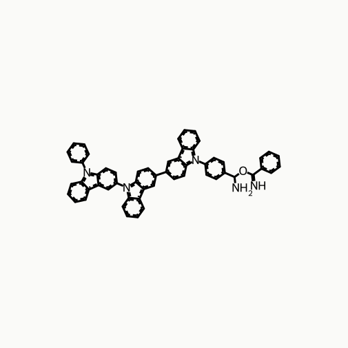 N=C(OC(N)c1ccc(-n2c3ccccc3c3cc(-c4ccc5c(c4)c4ccccc4n5-c4ccc5c(c4)c4ccccc4n5-c4ccccc4)ccc32)cc1)c1ccccc1